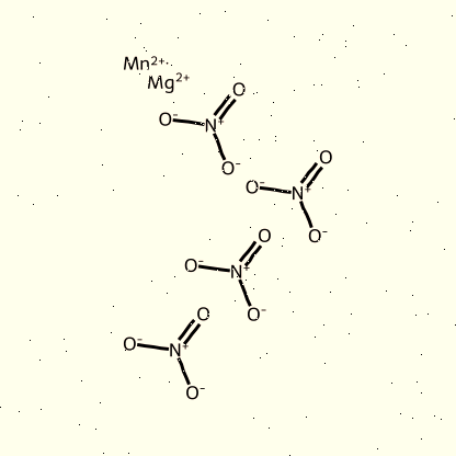 O=[N+]([O-])[O-].O=[N+]([O-])[O-].O=[N+]([O-])[O-].O=[N+]([O-])[O-].[Mg+2].[Mn+2]